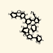 N#Cc1cccc(-c2ccccc2)c1-c1cc(-c2ccc3oc4ccccc4c3c2)cc(-c2ccc3oc4ccc(-c5ccccc5)cc4c3c2)c1